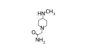 CNC1CCN(CC(N)=O)CC1